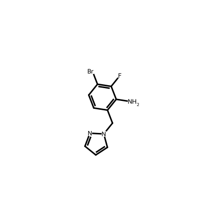 Nc1c(Cn2cccn2)ccc(Br)c1F